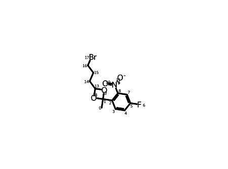 CC1(c2ccc(F)cc2[N+](=O)[O-])OC(CCCBr)O1